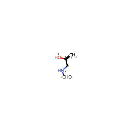 C=C(O)CN[C]=O